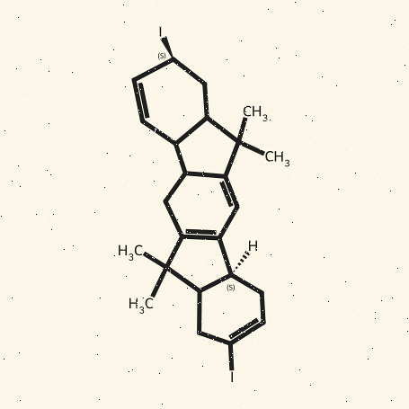 CC1(C)C2=CC3=C(CC2C2C=C[C@@H](I)CC21)C(C)(C)C1CC(I)=CC[C@H]31